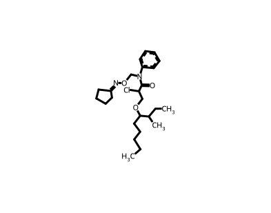 CCCCCC(OCC(Cl)C(=O)N(CON=C1CCCC1)c1ccccc1)C(C)CC